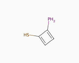 PC1=CC=C1S